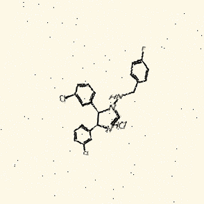 Cl.Fc1ccc(CNN2C=N[C@@H](c3cccc(Cl)c3)[C@H]2c2cccc(Cl)c2)cc1